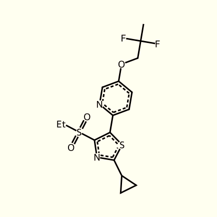 CCS(=O)(=O)c1nc(C2CC2)sc1-c1ccc(OCC(C)(F)F)cn1